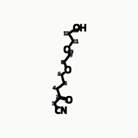 N#CCC(=O)CCCOCCOCCO